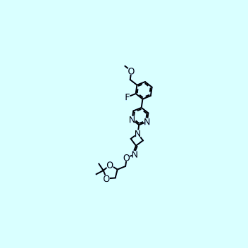 COCc1cccc(-c2cnc(N3CC(=NOCC4COC(C)(C)O4)C3)nc2)c1F